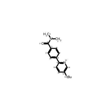 CN(C)C(=O)c1ccc(-c2ccc(C(C)(C)C)cn2)cc1